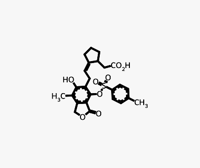 Cc1ccc(S(=O)(=O)Oc2c(CC=C3CCCC3CC(=O)O)c(O)c(C)c3c2C(=O)OC3)cc1